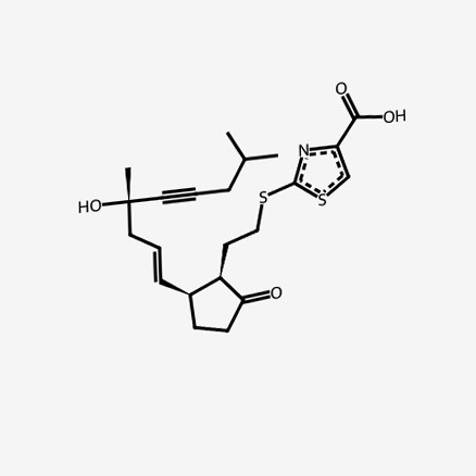 CC(C)CC#C[C@@](C)(O)C/C=C/[C@@H]1CCC(=O)[C@@H]1CCSc1nc(C(=O)O)cs1